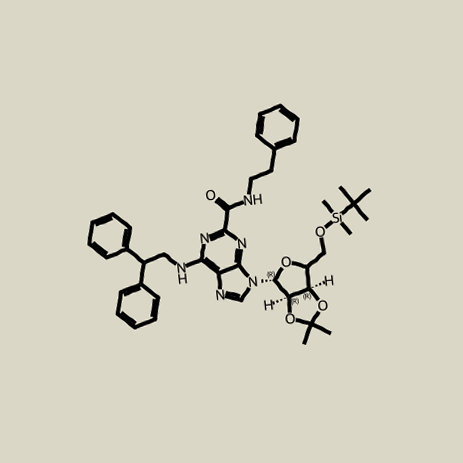 CC1(C)O[C@@H]2[C@H](O1)C(CO[Si](C)(C)C(C)(C)C)O[C@H]2n1cnc2c(NCC(c3ccccc3)c3ccccc3)nc(C(=O)NCCc3ccccc3)nc21